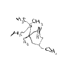 CC1CN[C@@](C)([Si](C)(C)C)C1